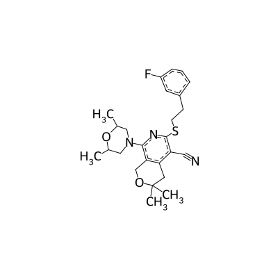 CC1CN(c2nc(SCCc3cccc(F)c3)c(C#N)c3c2COC(C)(C)C3)CC(C)O1